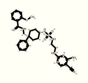 COc1ccccc1C(=O)NC[C@]1(c2ccccc2)CC[C@H](NS(=O)(=O)NCCNc2ncc(C#N)c(N)n2)CC1